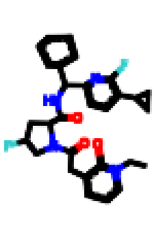 CCn1cccc(CC(=O)N2CC(F)CC2C(=O)NC(c2ccccc2)c2ccc(C3CC3)c(F)n2)c1=O